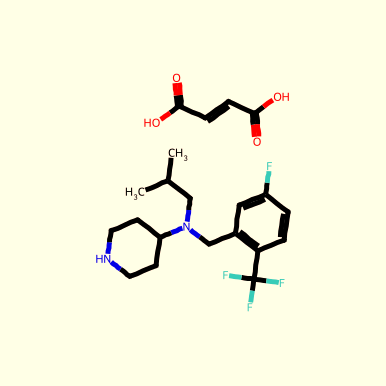 CC(C)CN(Cc1cc(F)ccc1C(F)(F)F)C1CCNCC1.O=C(O)C=CC(=O)O